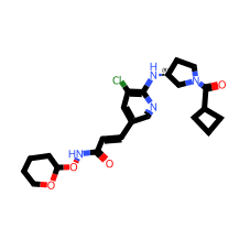 O=C(C=Cc1cnc(N[C@@H]2CCN(C(=O)C3CCC3)C2)c(Cl)c1)NOC1CCCCO1